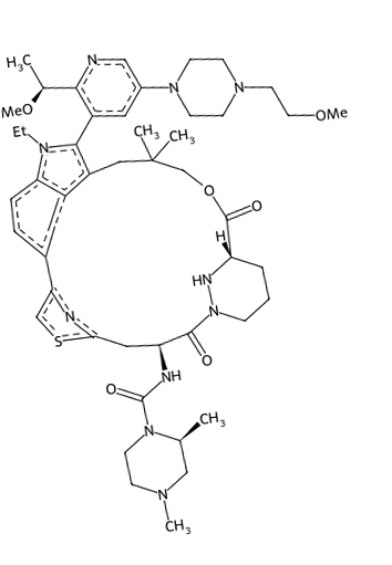 CCn1c(-c2cc(N3CCN(CCOC)CC3)cnc2[C@H](C)OC)c2c3cc(ccc31)-c1csc(n1)C[C@H](NC(=O)N1CCN(C)C[C@@H]1C)C(=O)N1CCC[C@H](N1)C(=O)OCC(C)(C)C2